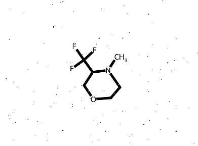 CN1CCO[CH]C1C(F)(F)F